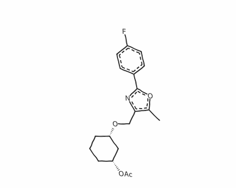 CC(=O)O[C@@H]1CCC[C@H](OCc2nc(-c3ccc(F)cc3)oc2C)C1